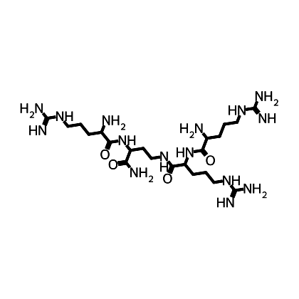 N=C(N)NCCCC(N)C(=O)NC(CCNC(=O)C(CCCNC(=N)N)NC(=O)C(N)CCCNC(=N)N)C(N)=O